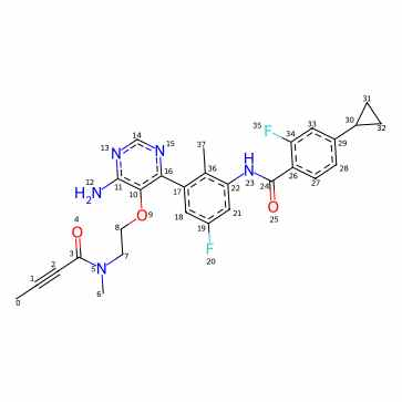 CC#CC(=O)N(C)CCOc1c(N)ncnc1-c1cc(F)cc(NC(=O)c2ccc(C3CC3)cc2F)c1C